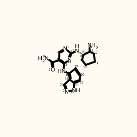 NC(=O)c1cnc(N[C@H]2CCCCC2N)nc1Nc1cccc2[nH]ncc12